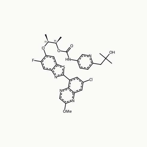 COc1cnc2c(-c3nc4cc(F)c(O[C@@H](C)[C@@H](C)OC(=O)Nc5ccc(CC(C)(C)O)nc5)cc4s3)cc(Cl)cc2n1